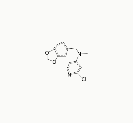 CN(Cc1ccc2c(c1)OCO2)c1ccnc(Cl)c1